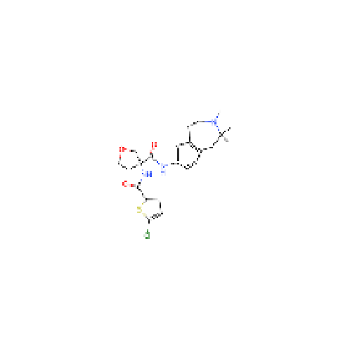 CN1CCc2cc(NC(=O)C3(NC(=O)c4ccc(Cl)s4)CCOC3)ccc2CC1(C)C